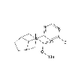 CC(C)(C)OC(=O)NC1C2CCC1CN(c1cc(Cl)ncn1)C2